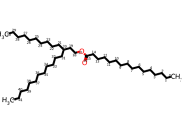 CCCCCCCCCCCCCCCC(=O)OCCC(CCCCCCCCCC)CCCCCCCCCCCC